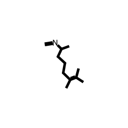 C=NC(C)CCCC(C)=C(C)C